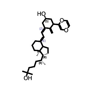 C=C1/C(=C\C=C2/CCC[C@@]3(C)C2CC[C@@H]3[C@H](C)CCCC(C)(C)O)C[C@@H](O)CC1C1=COC=CO1